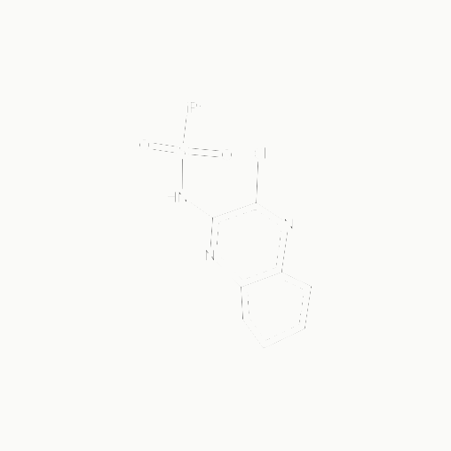 CC(C)S(=O)(=O)Nc1nc2ccccc2nc1Cl